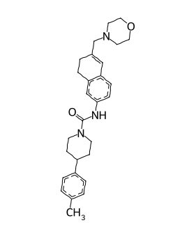 Cc1ccc(C2CCN(C(=O)Nc3ccc4c(c3)CCC(CN3CCOCC3)=C4)CC2)cc1